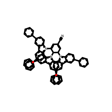 N#CC1=CC(n2c3ccc(-c4ccccc4)cc3c3cc(-c4ccccc4)ccc32)C(n2c3ccc(-c4ccccc4)cc3c3cc(-c4ccccc4)ccc32)C(n2c3ccc(-c4ccccc4)cc3c3cc(-c4ccccc4)ccc32)=C1